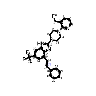 FCc1cccnc1N1CCN(c2nc3c(/C=C/c4ccccc4)cc(C(F)(F)F)cc3[nH]2)CC1